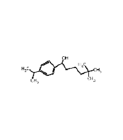 CC(C)c1ccc(C(O)CCCC(C)(C)C)cc1